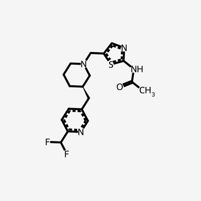 CC(=O)Nc1ncc(CN2CCC[C@H](Cc3ccc(C(F)F)nc3)C2)s1